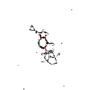 O=C(N[C@H]1C[C@H]2CC[C@@H](C1)N2S(=O)(=O)c1ccc(Br)cc1)c1cc(C2CC2)on1